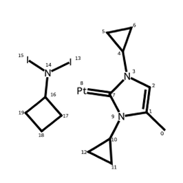 Cc1cn(C2CC2)[c](=[Pt])n1C1CC1.IN(I)C1CCC1